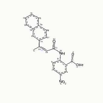 COC(=O)c1cc([N+](=O)[O-])ccc1NC(=O)/C=C(/C)c1ccc2ccccc2c1